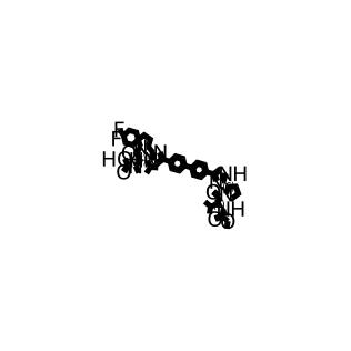 COC(=O)N[C@H](C(=O)N1CCC[C@H]1c1nc(-c2ccc(-c3ccc(-c4c[nH]c(C5CCC6(CCC(F)(F)CC6)N5C(=O)[C@H](CC(C)C)N(C)C(=O)O)n4)cc3)cc2)c[nH]1)C(C)C